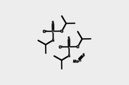 CC(C)OP([O-])(=S)SC(C)C.CC(C)OP([O-])(=S)SC(C)C.[S]=[Mo+2]